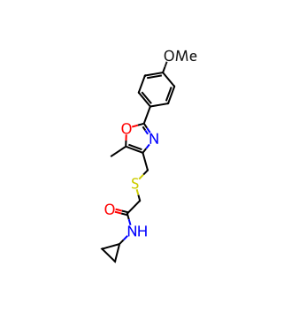 COc1ccc(-c2nc(CSCC(=O)NC3CC3)c(C)o2)cc1